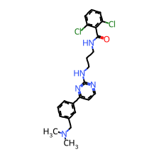 CN(C)Cc1cccc(-c2ccnc(NCCCNC(=O)c3c(Cl)cccc3Cl)n2)c1